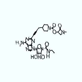 CCNC(=O)[C@H]1O[C@@H](n2cnc3c(N)nc(C#CCC4CCN(C(=O)OC5CN(C)C5=O)CC4)nc32)[C@@H](O)C1O